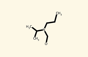 CCCN(C[O])C(C)C